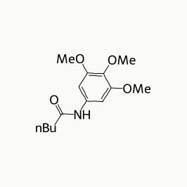 [CH2]CCCC(=O)Nc1cc(OC)c(OC)c(OC)c1